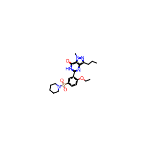 CCCc1nn(C)c2c(=O)[nH]c(-c3cc(S(=O)(=O)N4CCCCC4)ccc3OCC)nc12